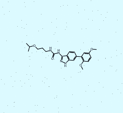 COc1ccc(OC)c(-c2ccc3c(NC(=O)NCCCOC(C)C)n[nH]c3c2)c1